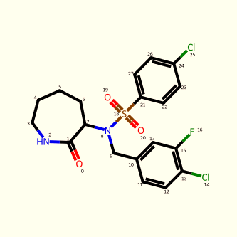 O=C1NCCCCC1N(Cc1ccc(Cl)c(F)c1)S(=O)(=O)c1ccc(Cl)cc1